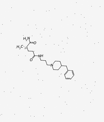 C[C@@H](C[CH]C(=O)NCCCN1CCC(Cc2ccccc2)CC1)C(N)=O